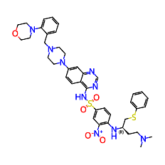 CN(C)CC[C@H](CSc1ccccc1)Nc1ccc(S(=O)(=O)Nc2ncnc3cc(N4CCN(Cc5ccccc5N5CCOCC5)CC4)ccc23)cc1[N+](=O)[O-]